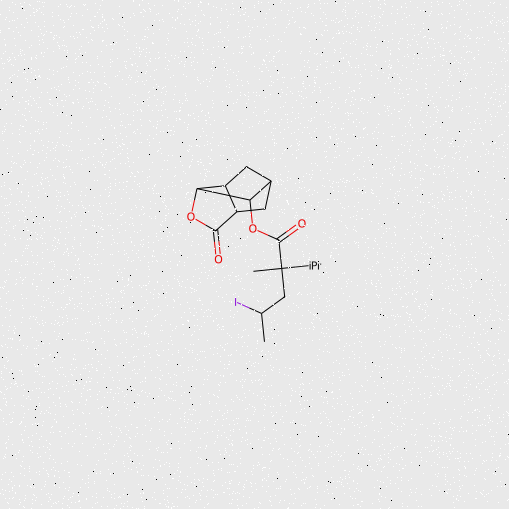 CC(I)CC(C)(C(=O)OC1C2CC3C(=O)OC1C3C2)C(C)C